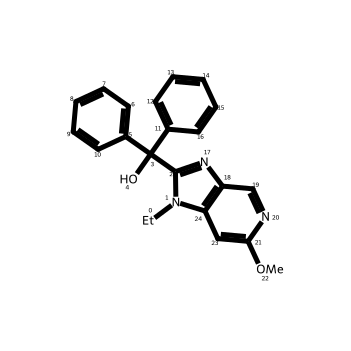 CCn1c(C(O)(c2ccccc2)c2ccccc2)nc2cnc(OC)cc21